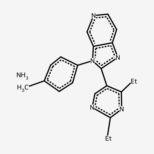 CCc1ncc(-c2nc3ccncc3n2-c2ccc(C)cc2)c(CC)n1.N